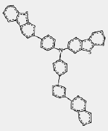 c1cc(-c2ccc(N(c3ccc(-c4ccc5c(c4)sc4ccccc45)cc3)c3ccc4c(c3)sc3ccccc34)cc2)cc(-c2ccc3ccccc3c2)c1